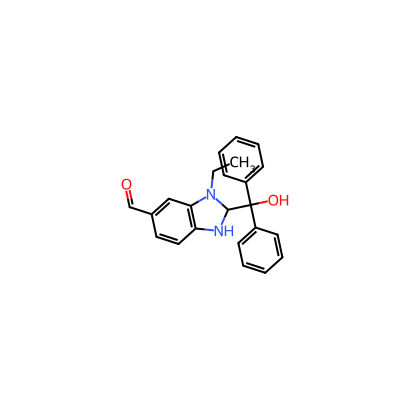 CCN1c2cc(C=O)ccc2NC1C(O)(c1ccccc1)c1ccccc1